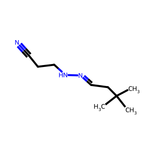 CC(C)(C)C/C=N/NCCC#N